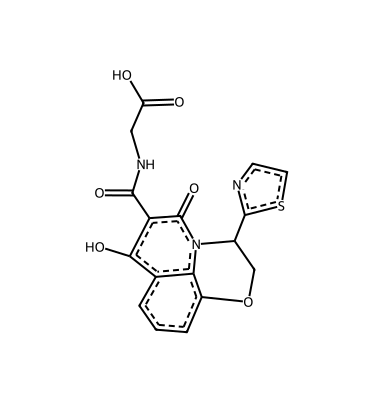 O=C(O)CNC(=O)c1c(O)c2cccc3c2n(c1=O)C(c1nccs1)CO3